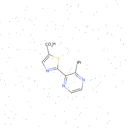 CC(C)c1nccnc1-c1ncc(C(=O)O)s1